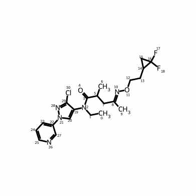 CCN(C(=O)C(C)CC(C)=NOCCC1CC1(F)F)c1cn(-c2cccnc2)nc1Cl